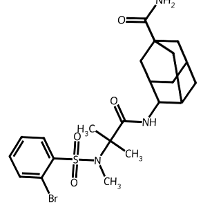 CN(C(C)(C)C(=O)NC1C2CC3CC1CC(C(N)=O)(C3)C2)S(=O)(=O)c1ccccc1Br